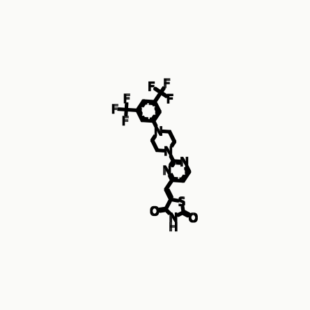 O=C1NC(=O)/C(=C/c2ccnc(N3CCN(c4cc(C(F)(F)F)cc(C(F)(F)F)c4)CC3)n2)S1